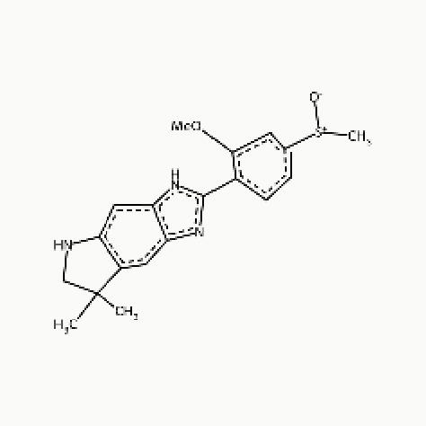 COc1cc([S+](C)[O-])ccc1-c1nc2cc3c(cc2[nH]1)NCC3(C)C